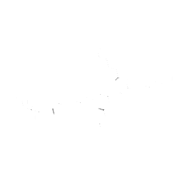 CCCCCCC(CCC(CCCCCCCC(=O)OCC(C)(C)CCC)OC(=O)CCC)OC(=O)CCCCC